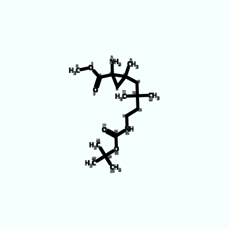 COC(=O)C1(N)CC1(C)CC(C)(C)CCNC(=O)OC(C)(C)C